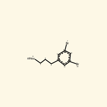 CCCCCCCCCc1cc(Br)[c]c(Br)c1